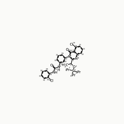 CC(O[Si](C(C)C)(C(C)C)C(C)C)c1nc2cccc(Cl)c2c(=O)n1-c1cccc(NC(=O)Nc2ccccc2Cl)c1